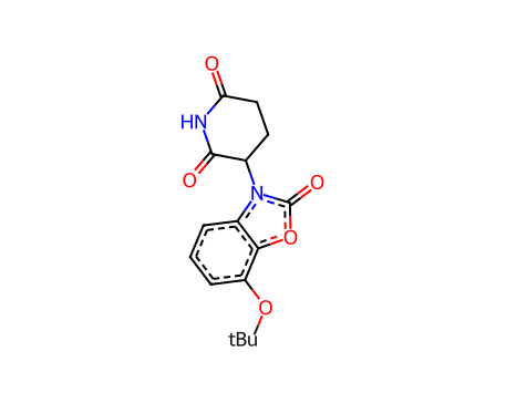 CC(C)(C)Oc1cccc2c1oc(=O)n2C1CCC(=O)NC1=O